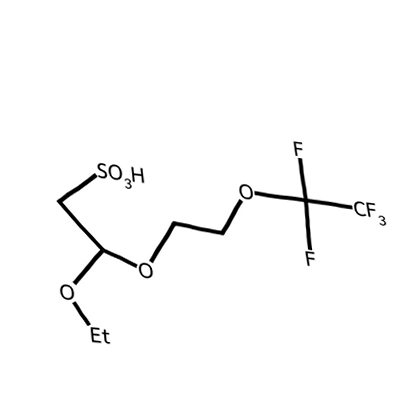 CCOC(CS(=O)(=O)O)OCCOC(F)(F)C(F)(F)F